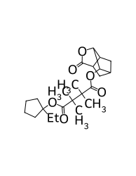 CCC1(OC(=O)C(C)(C)C(C)(C)C(=O)OC2C3CC4C(=O)OC2C4C3)CCCC1